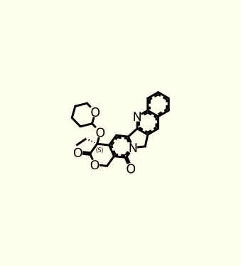 CC[C@@]1(OC2CCCCO2)C(=O)OCc2c1cc1n(c2=O)Cc2cc3ccccc3nc2-1